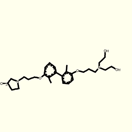 Cc1c(OCCCN(CCO)CCO)cccc1-c1cccc(OCCCN2CC[C@@H](O)C2)c1C